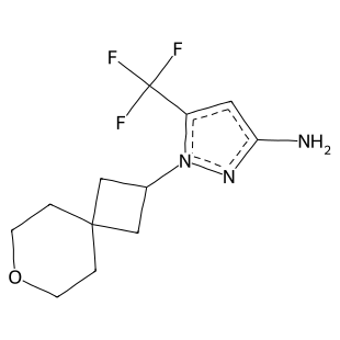 Nc1cc(C(F)(F)F)n(C2CC3(CCOCC3)C2)n1